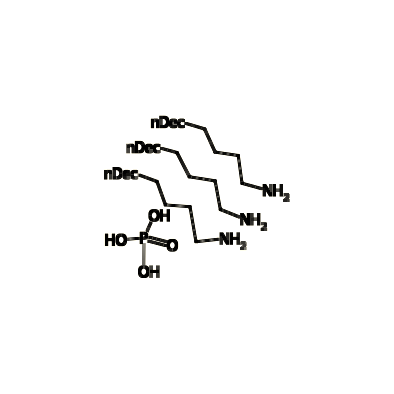 CCCCCCCCCCCCCCN.CCCCCCCCCCCCCCN.CCCCCCCCCCCCCCN.O=P(O)(O)O